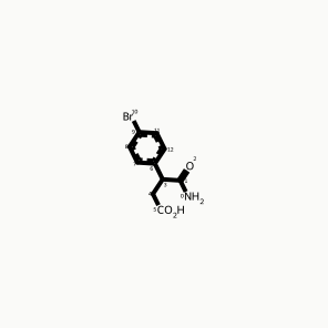 NC(=O)C(CC(=O)O)c1ccc(Br)cc1